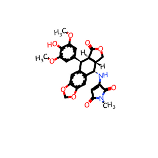 COc1cc([C@@H]2c3cc4c(cc3[C@@H](NC3=CC(=O)N(C)C3=O)[C@H]3COC(=O)[C@H]23)OCO4)cc(OC)c1O